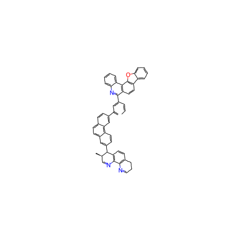 C=C(/C=C(\C=C/C)c1nc2ccccc2c2c1ccc1c3ccccc3oc12)c1ccc2ccc3cc(C4c5ccc6c(c5N=C[C@H]4C)N=CCC6)ccc3c2c1